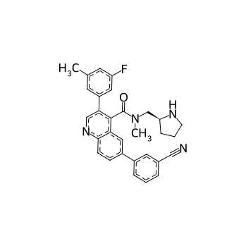 Cc1cc(F)cc(-c2cnc3ccc(-c4cccc(C#N)c4)cc3c2C(=O)N(C)C[C@@H]2CCCN2)c1